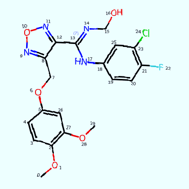 COc1ccc(OCc2nonc2/C(=N/CO)Nc2ccc(F)c(Cl)c2)cc1OC